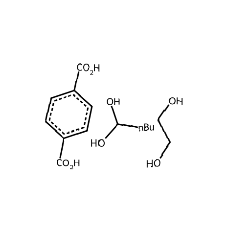 CCCCC(O)O.O=C(O)c1ccc(C(=O)O)cc1.OCCO